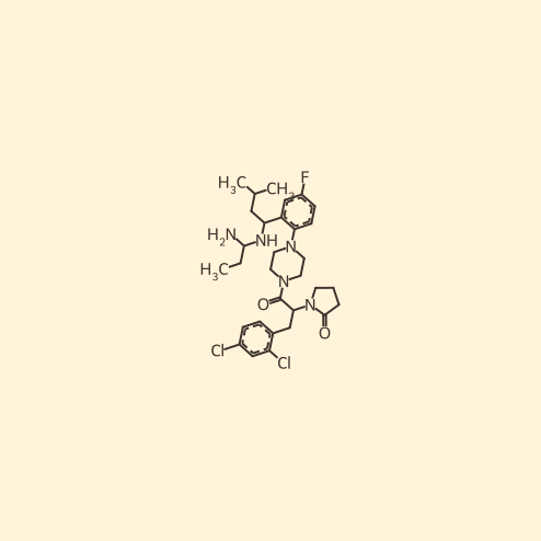 CCC(N)NC(CC(C)C)c1cc(F)ccc1N1CCN(C(=O)C(Cc2ccc(Cl)cc2Cl)N2CCCC2=O)CC1